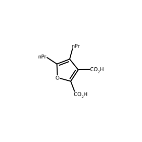 CCCc1oc(C(=O)O)c(C(=O)O)c1CCC